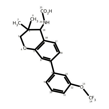 CC1(C)COc2cc(-c3cccc(OC(F)(F)F)c3)ccc2C1NC(=O)O